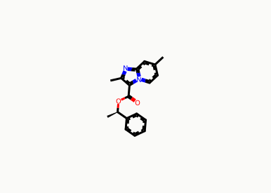 Cc1ccn2c(C(=O)O[C@H](C)c3ccccc3)c(C)nc2c1